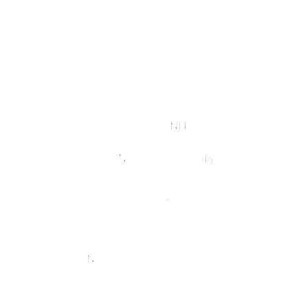 C=CCCCN(Cc1cccnc1)C(=O)C(N)C(C)C